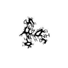 C=CC(=O)Nc1cc(NC(=O)c2nn(Cc3ccc(F)cc3)c3c2CN(C(=O)c2ccc[nH]2)CC3C)ccc1Cl